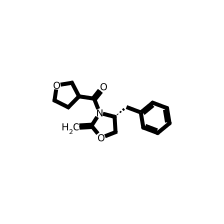 C=C1OC[C@@H](Cc2ccccc2)N1C(=O)C1CCOC1